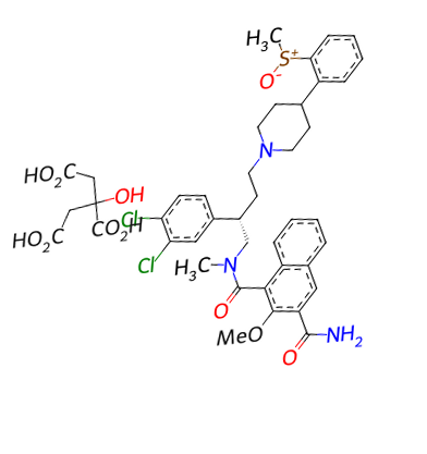 COc1c(C(N)=O)cc2ccccc2c1C(=O)N(C)C[C@@H](CCN1CCC(c2ccccc2[S+](C)[O-])CC1)c1ccc(Cl)c(Cl)c1.O=C(O)CC(O)(CC(=O)O)C(=O)O